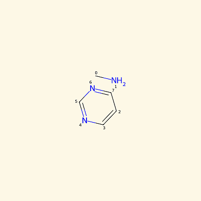 CN.c1cncnc1